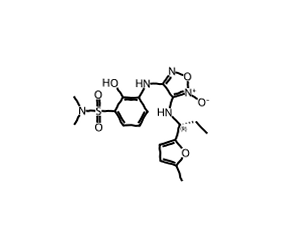 CC[C@@H](Nc1c(Nc2cccc(S(=O)(=O)N(C)C)c2O)no[n+]1[O-])c1ccc(C)o1